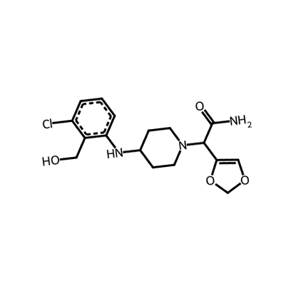 NC(=O)C(C1=COCO1)N1CCC(Nc2cccc(Cl)c2CO)CC1